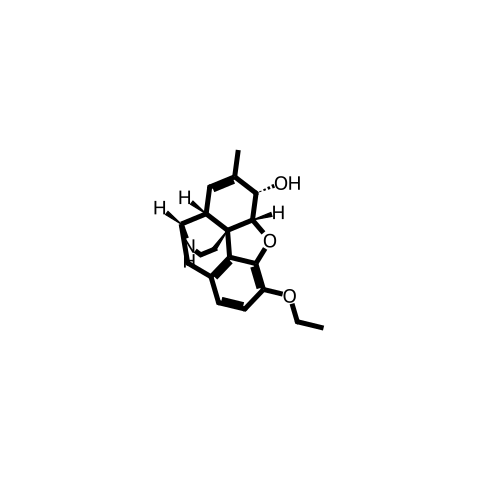 CCOc1ccc2c3c1O[C@H]1[C@@H](O)C(C)=C[C@H]4[C@@H](C2)NCC[C@@]341